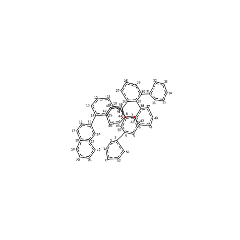 c1ccc(-c2cccc(N(c3cccc(-c4ccc5ccccc5c4)c3)c3cccc(-c4ccccc4)c3-c3ccccc3-c3ccccc3)c2)cc1